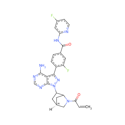 C=CC(=O)N1C[C@@H]2CC1C(n1nc(-c3ccc(C(=O)Nc4cc(F)ccn4)cc3F)c3c(N)ncnc31)C2